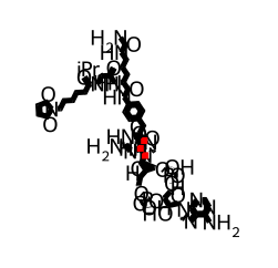 CC(C)C(NC(=O)CCCCCN1C(=O)C=CC1=O)C(=O)NC(CCCNC(N)=O)C(=O)Nc1ccc(COC(=O)NCCC2C3OP(=O)(O)O[C@H]4O[C@@H](n5cnc6c(N)ncnc65)C(O)C4OP(=O)(O)OC[C@H]2O[C@H]3n2cnc3c(=O)[nH]c(N)nc32)cc1